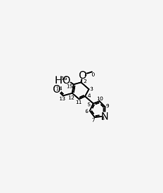 COC1CC(c2ccncc2)=CC(C=O)=C1O